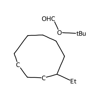 CC(C)(C)OC=O.CCC1CCCCCCCC1